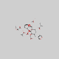 CCC(C)C(=O)OC1C[C@@]2(C)[C@H](c3ccoc3)OC(=O)CC23OC2(C)OC34[C@H](OC(=O)C(C)C)[C@@]3(O)[C@@H](OC(=O)C5(C)OC5C)[C@@]5(C)C[C@]3(O)[C@@](C)([C@H]5CC(=O)OC)C14O2